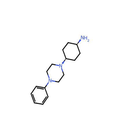 N[C@H]1CC[C@@H](N2CCN(c3ccccc3)CC2)CC1